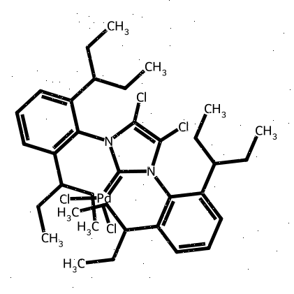 CCC(CC)c1cccc(C(CC)CC)c1-n1c(Cl)c(Cl)n(-c2c(C(CC)CC)cccc2C(CC)CC)[c]1=[Pd]([Cl])[Cl]